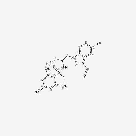 CCC(Cn1cc(C=O)c2cc(F)ccc21)NS(=O)(=O)c1c(C)cc(C)cc1C